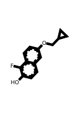 Oc1ccc2cc(OCC3CC3)ccc2c1F